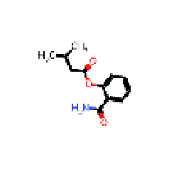 CC(C)CC(=O)Oc1ccccc1C(N)=O